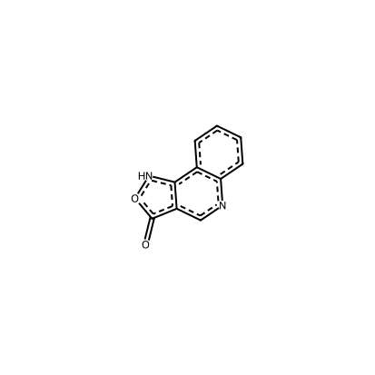 O=c1o[nH]c2c1cnc1ccccc12